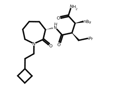 CCCC[C@H](C(N)=O)[C@@H](CC(C)C)C(=O)N[C@H]1CCCCN(CCC2CCC2)C1=O